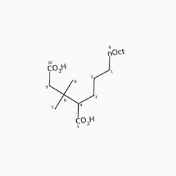 CCCCCCCCCCCC(C(=O)O)C(C)(C)CC(=O)O